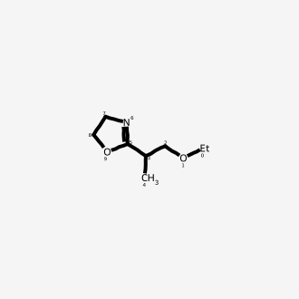 CCOCC(C)C1=NCCO1